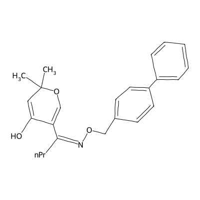 CCCC(=NOCc1ccc(-c2ccccc2)cc1)C1=COC(C)(C)C=C1O